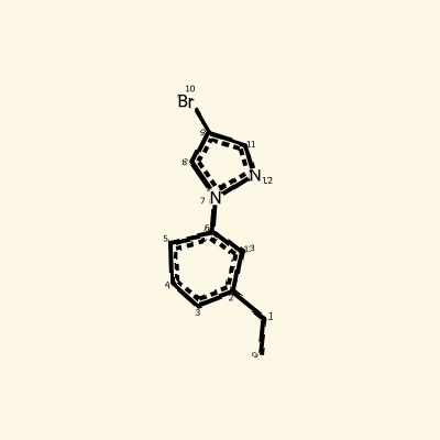 CCc1cccc(-n2cc(Br)cn2)c1